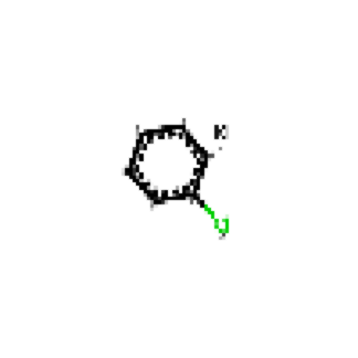 Clc1cc[c]cc1.[KH]